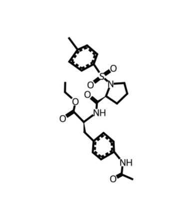 CCOC(=O)[C@H](Cc1ccc(NC(C)=O)cc1)NC(=O)[C@@H]1CCCN1S(=O)(=O)c1ccc(C)cc1